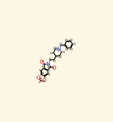 O=C1c2cc3c(cc2C(=O)N1CCC1CCN(Cc2ccccc2)CC1)OCO3